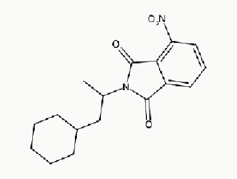 CC(CC1CCCCC1)N1C(=O)c2cccc([N+](=O)[O-])c2C1=O